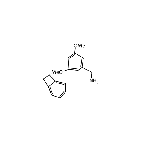 COc1cc(CN)cc(OC)c1.c1ccc2c(c1)CC2